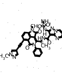 C[C@@H](NC(=O)c1c(NS(N)(=O)=O)nn2cccnc12)c1c2c3c(ccc(C#Cc4cnn(C)c4)c3c(=O)n1-c1ccccc1)N(C)C2=O